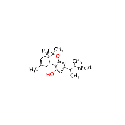 CCCCCC(C)C(C)c1cc(O)c2c(c1)OC(C)(C)[C@@H]1CC=C(C)CC21